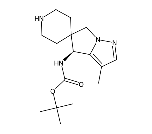 Cc1cnn2c1[C@@H](NC(=O)OC(C)(C)C)C1(CCNCC1)C2